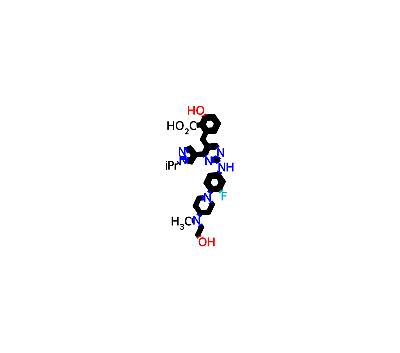 CC(C)n1cc(-c2nc(Nc3ccc(N4CCC(N(C)CCO)CC4)c(F)c3)ncc2Cc2cccc(O)c2C(=O)O)cn1